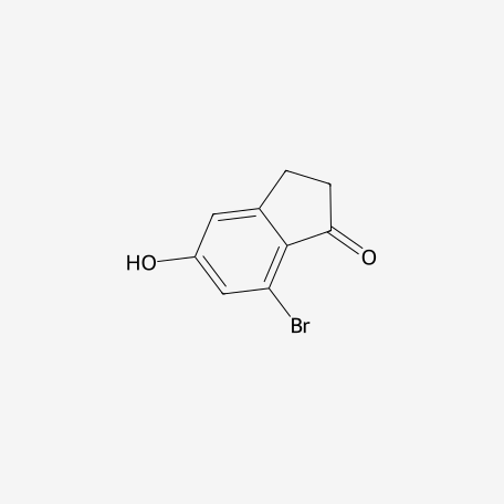 O=C1CCc2cc(O)cc(Br)c21